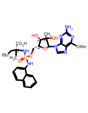 COc1nc(N)nc2c1ncn2C1O[C@H](COP(=O)(Nc2cccc3ccccc23)N[C@@](C)(CC(C)(C)C)C(=O)O)[C@@H](O)[C@@]1(C)O